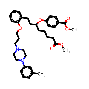 COC(=O)CCCCC(CCc1ccccc1OCCCN1CCN(c2cccc(C)c2)CC1)Oc1ccc(C(=O)OC)cc1